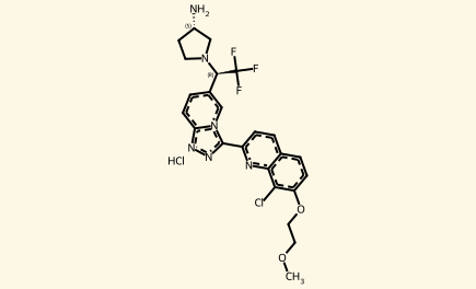 COCCOc1ccc2ccc(-c3nnc4ccc([C@@H](N5CC[C@H](N)C5)C(F)(F)F)cn34)nc2c1Cl.Cl